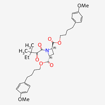 CCC(C)(C)C(=O)C(=O)N1[C@@H](C(=O)OCCCCc2ccc(OC)cc2)C[C@@H]1C(=O)OCCCCc1ccc(OC)cc1